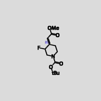 COC(=O)/C=C1\CCN(C(=O)OC(C)(C)C)CC1F